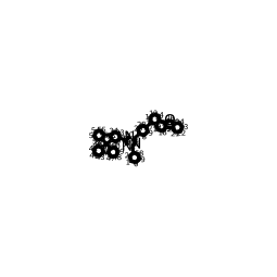 c1ccc(-c2nc(-c3ccc(-c4cccc5c4ccc4c6ccccc6oc54)cc3)nc(-c3ccc4c(c3)C(c3ccccc3)(c3ccccc3)c3ccccc3-4)n2)cc1